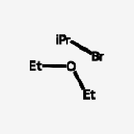 CC(C)Br.CCOCC